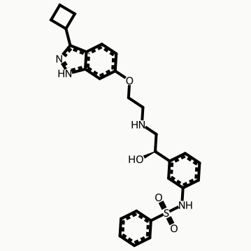 O=S(=O)(Nc1cccc([C@@H](O)CNCCOc2ccc3c(C4CCC4)n[nH]c3c2)c1)c1ccccc1